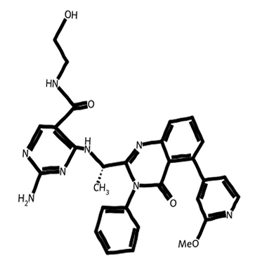 COc1cc(-c2cccc3nc([C@H](C)Nc4nc(N)ncc4C(=O)NCCO)n(-c4ccccc4)c(=O)c23)ccn1